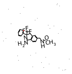 CC(=O)NCc1ccc2c(c1)CC(c1ccccc1)(C(F)(F)F)N=C2N